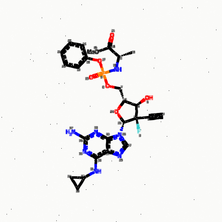 C#C[C@@]1(F)[C@H](O)[C@@H](COP(=O)(N[C@@H](C)C(=O)OC)Oc2ccccc2)O[C@H]1n1cnc2c(NC3CC3)nc(N)nc21